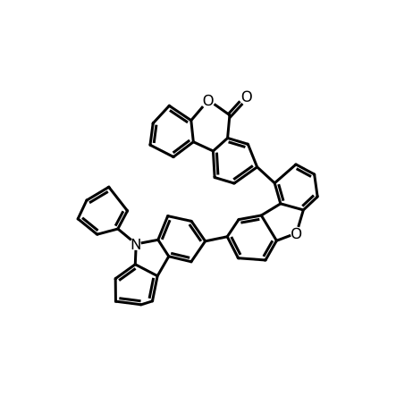 O=c1oc2ccccc2c2ccc(-c3cccc4oc5ccc(-c6ccc7c(c6)c6ccccc6n7-c6ccccc6)cc5c34)cc12